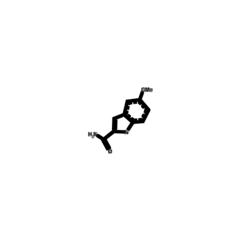 COc1ccc2c(c1)C=C(C(N)=O)[N]2